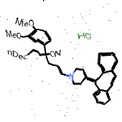 CCCCCCCCCCCCC(C#N)(CCCN1CCC(=C2c3ccccc3C=Cc3ccccc32)CC1)c1ccc(OC)c(OC)c1.Cl